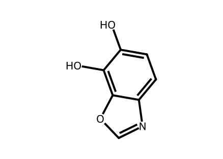 Oc1ccc2ncoc2c1O